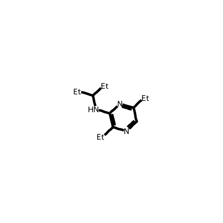 CCc1cnc(CC)c(NC(CC)CC)n1